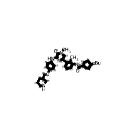 Cc1c(NC(=O)c2ccc(C(C)(C)C)cc2)cccc1-c1cn(C)c(=O)c(Nc2ccc(OCC3CCCNC3)cc2)n1